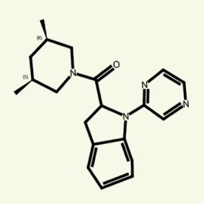 C[C@@H]1C[C@H](C)CN(C(=O)C2Cc3ccccc3N2c2cnccn2)C1